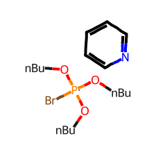 CCCCO[P](Br)(OCCCC)OCCCC.c1ccncc1